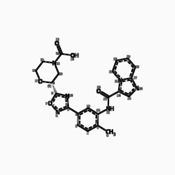 Cc1ccc(-c2noc([C@H]3CN(C(=O)O)CCO3)n2)cc1NC(=O)c1cnc2ccccn12